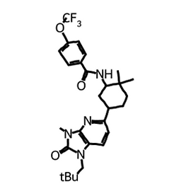 Cn1c(=O)n(CC(C)(C)C)c2ccc(C3CCC(C)(C)C(NC(=O)c4ccc(OC(F)(F)F)cc4)C3)nc21